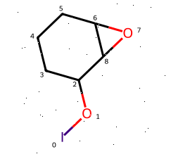 IOC1CCCC2OC12